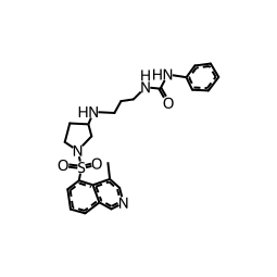 Cc1cncc2cccc(S(=O)(=O)N3CCC(NCCCNC(=O)Nc4ccccc4)C3)c12